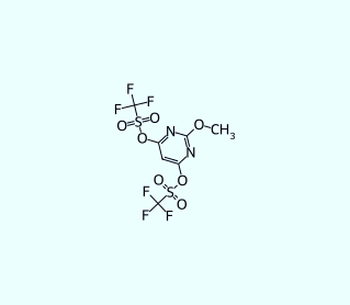 COc1nc(OS(=O)(=O)C(F)(F)F)cc(OS(=O)(=O)C(F)(F)F)n1